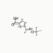 CC(=NOC(C)(C)C)c1ccc(C(=O)O)s1